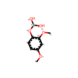 COc1ccc(OB(O)O)c(OC)c1